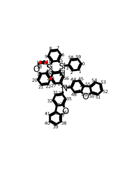 c1ccc([SiH]2c3ccccc3[Si]3(c4ccccc4Oc4ccccc43)c3ccc(N(c4ccc5c(c4)oc4ccccc45)c4ccc5c(c4)oc4ccccc45)cc32)cc1